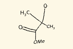 COC(=O)C(C)(C)[O]